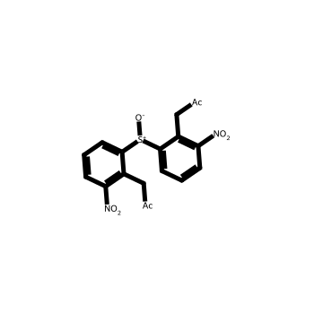 CC(=O)Cc1c([N+](=O)[O-])cccc1[S+]([O-])c1cccc([N+](=O)[O-])c1CC(C)=O